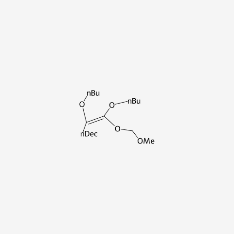 CCCCCCCCCCC(OCCCC)=C(OCCCC)OCOC